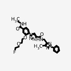 CCNC(=O)c1ccc(-n2cc(C(=O)NCc3nn(-c4ccccc4)nc3C)nn2)c(OCCOCCF)c1